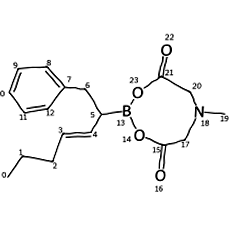 CCC/C=C/C(Cc1ccccc1)B1OC(=O)CN(C)CC(=O)O1